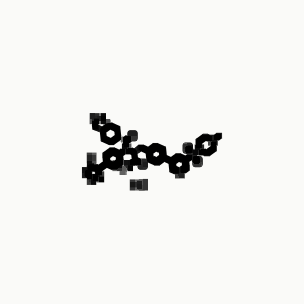 CN1CCN(S(=O)(=O)c2cncc(-c3ccc(C[C@@H](C(N)=O)N(c4ccc(-c5nnn[nH]5)cc4)C(=O)[C@H]4CC[C@H](CN)CC4)cc3)c2)CC1.Cl